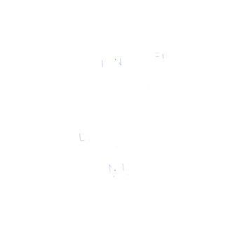 CCC(N)c1cccc(C(N)CC)c1